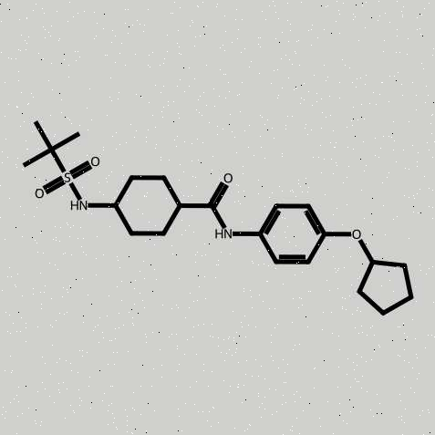 CC(C)(C)S(=O)(=O)NC1CCC(C(=O)Nc2ccc(OC3CCCC3)cc2)CC1